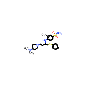 CN(C)C1CCN(CCC(CSc2ccccc2)Nc2ccc(S(N)(=O)=O)cc2[N+](=O)[O-])CC1